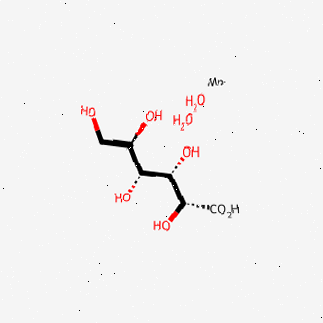 O.O.O=C(O)[C@H](O)[C@@H](O)[C@H](O)[C@H](O)CO.[Mn]